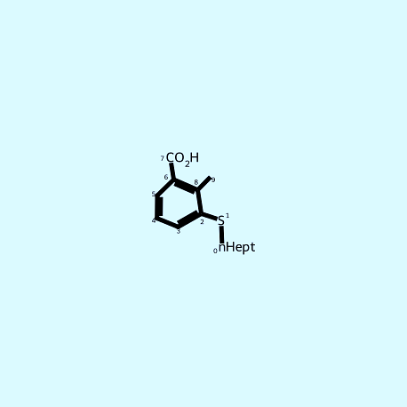 CCCCCCCSc1cccc(C(=O)O)c1C